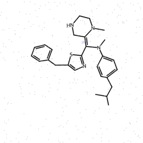 CC(C)Cc1ccc(N(C)/C(=C2/CNCCN2C)c2ncc(Cc3ccccc3)s2)cc1